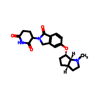 CN1CC[C@H]2CC[C@H](Oc3ccc4c(c3)CN(C3CCC(=O)NC3=O)C4=O)[C@H]21